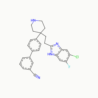 N#Cc1cccc(-c2ccc(C3(CCc4nc5cc(Cl)c(F)cc5[nH]4)CCNCC3)cc2)c1